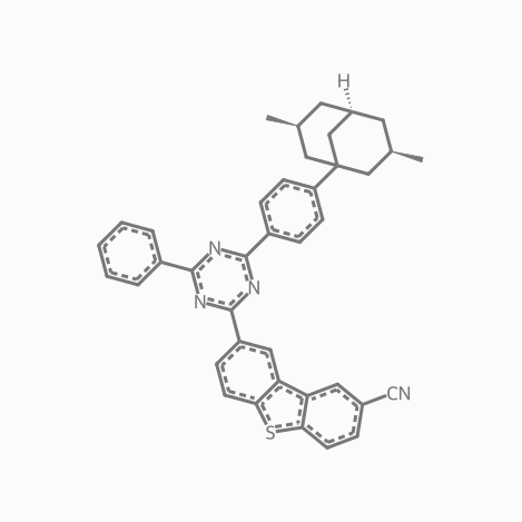 C[C@@H]1C[C@@H]2C[C@H](C)CC(c3ccc(-c4nc(-c5ccccc5)nc(-c5ccc6sc7ccc(C#N)cc7c6c5)n4)cc3)(C1)C2